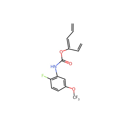 C=C/C=C(\C=C)OC(=O)Nc1cc(OC(F)(F)F)ccc1F